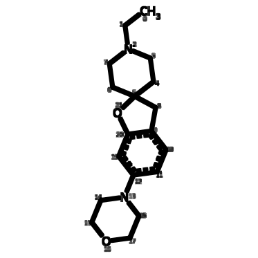 CCN1CCC2(CC1)Cc1c[c]c(N3CCOCC3)cc1O2